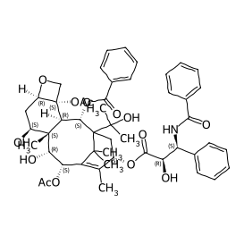 CC(=O)O[C@H]1C2=C(C)[C@@H](OC(=O)[C@H](O)[C@@H](NC(=O)c3ccccc3)c3ccccc3)CC(C(C)(C)O)([C@@H](OC(=O)c3ccccc3)[C@@H]3[C@]4(OC(C)=O)CO[C@@H]4C[C@H](O)[C@@]3(C)[C@H]1O)C2(C)C